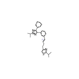 CC(C)c1nc(CC/C=C/c2cccc(-c3nn(C(C)C)nc3-c3ccccc3)c2)cs1